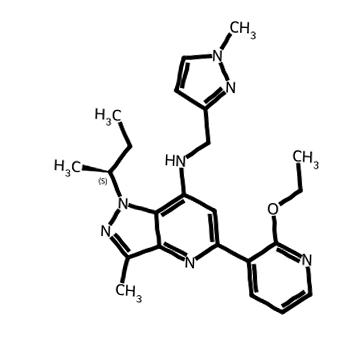 CCOc1ncccc1-c1cc(NCc2ccn(C)n2)c2c(n1)c(C)nn2[C@@H](C)CC